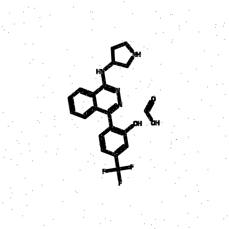 O=CO.Oc1cc(C(F)(F)F)ccc1-c1nnc(NC2CCNC2)c2ccccc12